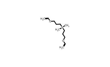 C=COCCC[Si](C)(C)CCCOC=C